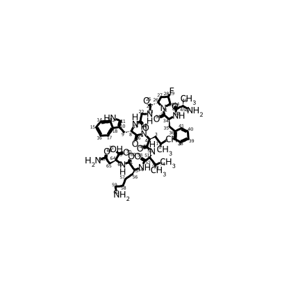 CC(C)C[C@H](NC(=O)[C@H](Cc1c[nH]c2ccccc12)NC(=O)CNC(=O)[C@@H]1CC(F)CN1C(=O)[C@H](Cc1ccccc1)NC(=O)[C@H](C)N)C(=O)N[C@H](C(=O)N[C@@H](CCCCN)C(=O)N[C@@H](CC(N)=O)C(=O)O)C(C)C